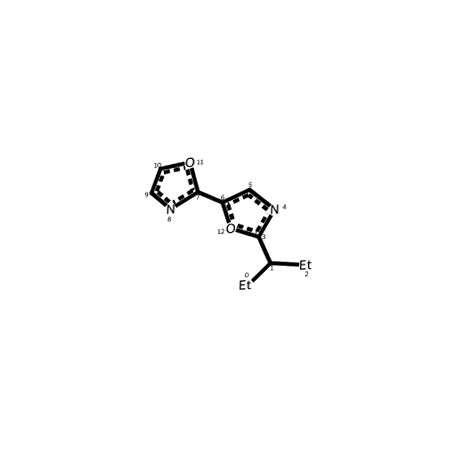 CCC(CC)c1ncc(-c2ncco2)o1